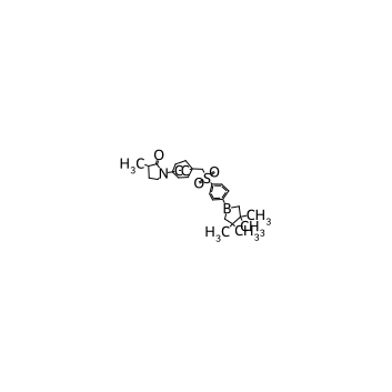 CC1CCN(C23CCC(CS(=O)(=O)c4ccc(B5CC(C)(C)C(C)(C)C5)cc4)(CC2)CC3)C1=O